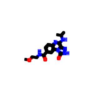 COCCNC(=O)c1ccc2nc(NC(C)C)c3n[nH]c(=O)n3c2c1